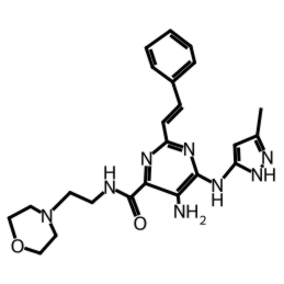 Cc1cc(Nc2nc(C=Cc3ccccc3)nc(C(=O)NCCN3CCOCC3)c2N)[nH]n1